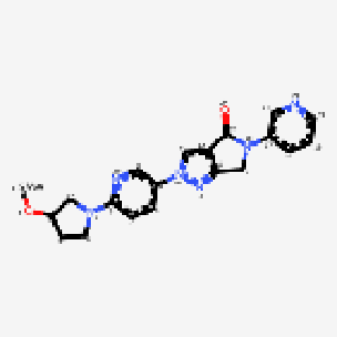 CSOC1CCN(c2ccc(-n3cc4c(n3)CN(c3cccnc3)C4=O)cn2)C1